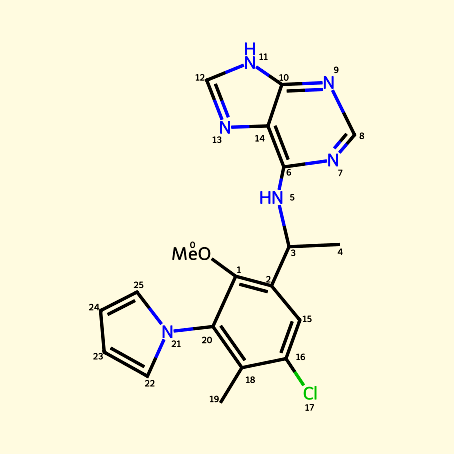 COc1c(C(C)Nc2ncnc3[nH]cnc23)cc(Cl)c(C)c1-n1cccc1